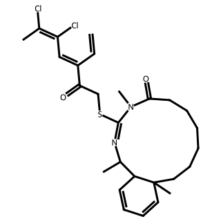 C=C/C(=C\C(Cl)=C(/C)Cl)C(=O)CS/C1=N/C(C)C2C=CC=CC2(C)CCCCCCC(=O)N1C